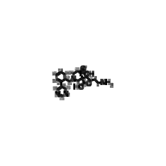 NCCCCC1(C(=O)O)CN(Cc2ccccc2-c2cncnc2)CCP1(=O)O